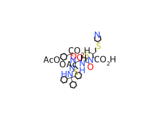 CC(=O)Oc1ccc([C@@H](O/N=C(\C(=O)N[C@@H]2C(=O)N3C(C(=O)O)=C(/C=C/Sc4ccncc4)CS[C@@H]23)c2csc(NC(c3ccccc3)(c3ccccc3)c3ccccc3)n2)C(=O)O)cc1OC(C)=O